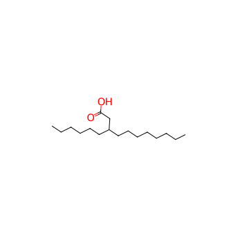 CCCCCCCCC(CCCCCC)CC(=O)O